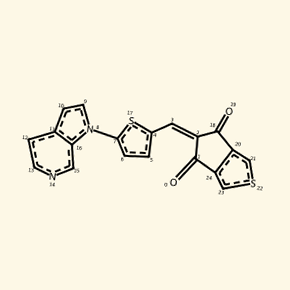 O=C1C(=Cc2ccc(-n3ccc4ccncc43)s2)C(=O)c2cscc21